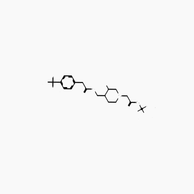 CC(C)(C)NC(=O)CN1CCC(CNC(=O)Cc2ccc(C(C)(C)C)cc2)C(F)C1